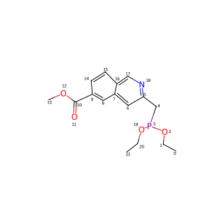 CCOP(Cc1cc2cc(C(=O)OC)ccc2cn1)OCC